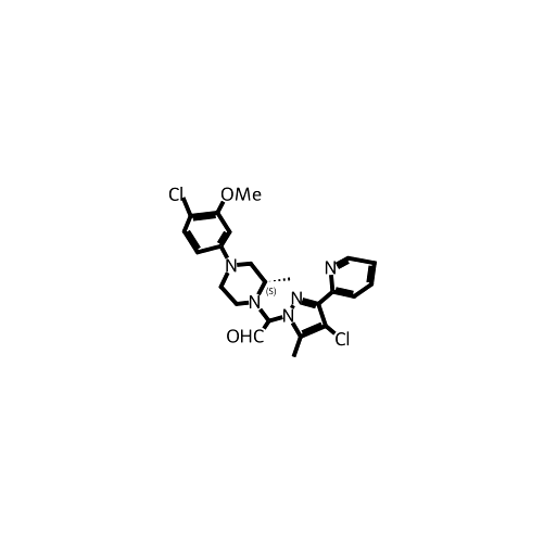 COc1cc(N2CCN(C(C=O)n3nc(-c4ccccn4)c(Cl)c3C)[C@@H](C)C2)ccc1Cl